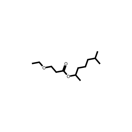 CCOCCC(=O)OC(C)CCCC(C)C